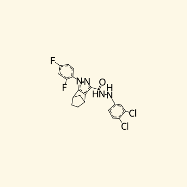 O=C(NNc1ccc(Cl)c(Cl)c1)c1nn(-c2ccc(F)cc2F)c2c1C1CCC2C1